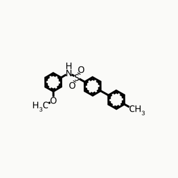 COc1cccc(NS(=O)(=O)c2ccc(-c3ccc(C)cc3)cc2)c1